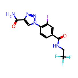 NC(=O)c1cn(-c2ccc(C(=O)NCC(F)(F)F)cc2I)nn1